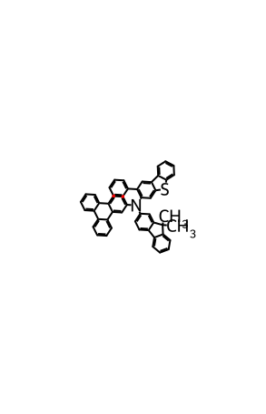 CC1(C)c2ccccc2-c2ccc(N(c3ccc4c5ccccc5c5ccccc5c4c3)c3cc4sc5ccccc5c4cc3-c3ccccc3)cc21